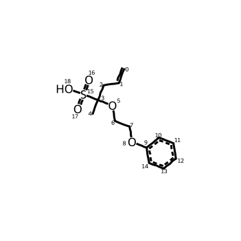 C=CCC(C)(OCCOc1ccccc1)S(=O)(=O)O